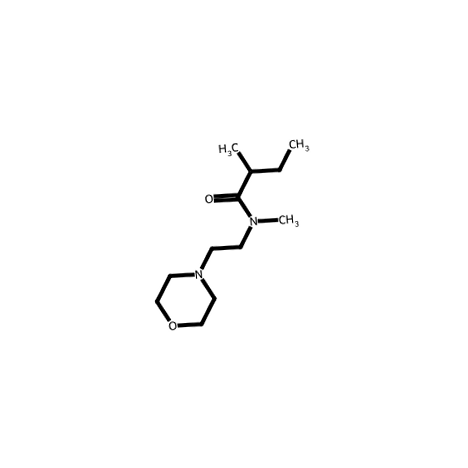 CCC(C)C(=O)N(C)CCN1CCOCC1